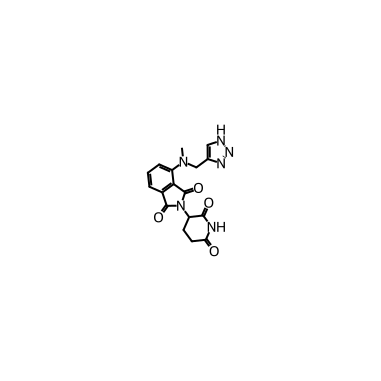 CN(Cc1c[nH]nn1)c1cccc2c1C(=O)N(C1CCC(=O)NC1=O)C2=O